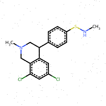 CNSc1ccc(C2CN(C)Cc3c(Cl)cc(Cl)cc32)cc1